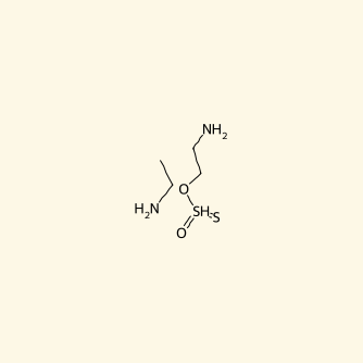 CCN.NCCO[SH](=O)=S